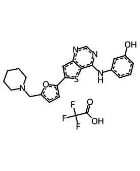 O=C(O)C(F)(F)F.Oc1cccc(Nc2ncnc3cc(-c4ccc(CN5CCCCC5)o4)sc23)c1